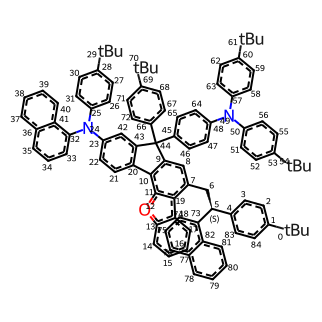 CC(C)(C)c1ccc([C@H](Cc2cc3c(c4oc5ccccc5c24)-c2ccc(N(c4ccc(C(C)(C)C)cc4)c4cccc5ccccc45)cc2C3(c2ccc(N(c3ccc(C(C)(C)C)cc3)c3ccc(C(C)(C)C)cc3)cc2)c2ccc(C(C)(C)C)cc2)c2cccc3ccccc23)cc1